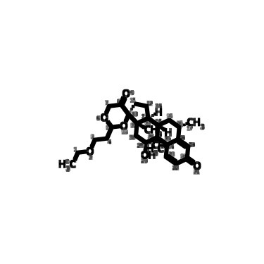 CCOCCC1OCC(=O)[C@]2(CC[C@H]3[C@@H]4C[C@H](C)C5=CC(=O)C=C[C@]5(C)[C@@]4(Cl)[C@@H](O)C[C@@]32C)O1